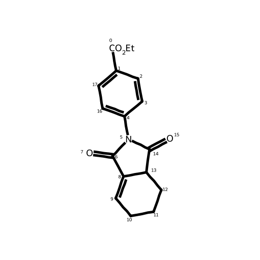 CCOC(=O)c1ccc(N2C(=O)C3=CCCCC3C2=O)cc1